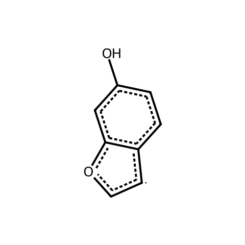 Oc1ccc2[c]coc2c1